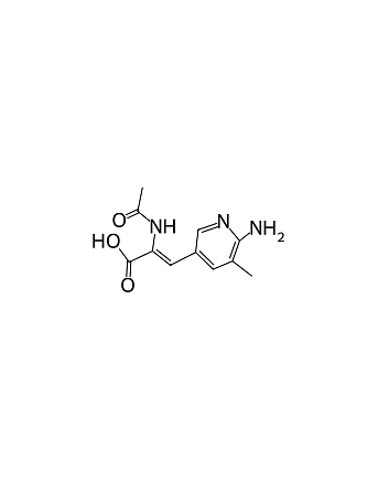 CC(=O)NC(=Cc1cnc(N)c(C)c1)C(=O)O